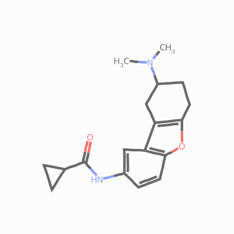 CN(C)C1CCc2oc3ccc(NC(=O)C4CC4)cc3c2C1